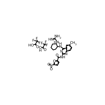 Cc1ccc2nc(NC(=O)c3ccc([N+](=O)[O-])o3)nc(NC3CCCCC3NC(=N)N)c2c1.O=C(O)C(F)(F)F.O=C(O)C(F)(F)F